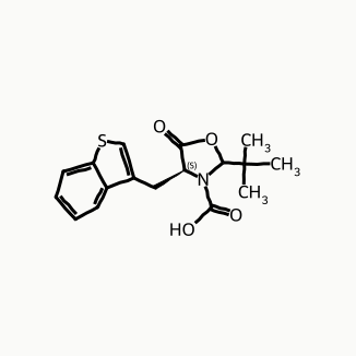 CC(C)(C)C1OC(=O)[C@H](Cc2csc3ccccc23)N1C(=O)O